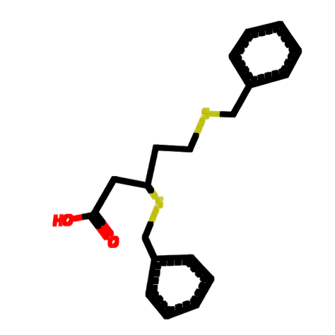 O=C(O)CC(CCSCc1ccccc1)SCc1ccccc1